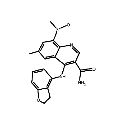 Cc1cc([S+](C)[O-])c2ncc(C(N)=O)c(Nc3cccc4c3CCO4)c2c1